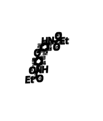 CCC(=O)C(=O)Nc1ccc(Oc2ccc(NC(=O)C(=O)CC)cc2)cc1